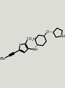 CC(C)(C)C#Cc1cc(N[C@H]2CC[C@H](O[C@@H]3CCNC3)CC2)c(C(=O)O)s1